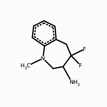 CN1CC(N)C(F)(F)Cc2ccccc21